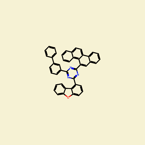 c1ccc(-c2cccc(-c3nc(-c4cccc5oc6ccccc6c45)nc(-c4cc5ccccc5c5ccc6ccccc6c45)n3)c2)cc1